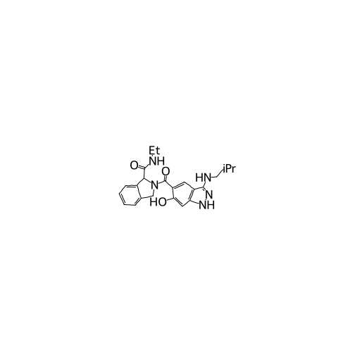 CCNC(=O)C1c2ccccc2CN1C(=O)c1cc2c(NCC(C)C)n[nH]c2cc1O